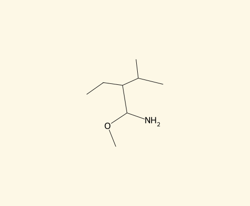 CCC(C(C)C)C(N)OC